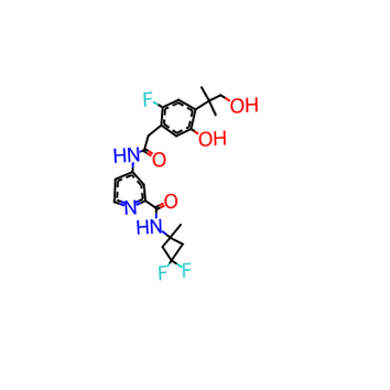 CC1(NC(=O)c2cc(NC(=O)Cc3cc(O)c(C(C)(C)CO)cc3F)ccn2)CC(F)(F)C1